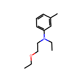 CCOCCN(CC)c1cccc(C)c1